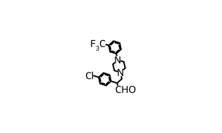 O=CC(CN1CCN(c2cccc(C(F)(F)F)c2)CC1)c1ccc(Cl)cc1